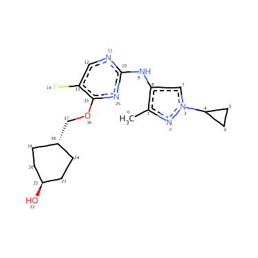 Cc1nn(C2CC2)cc1Nc1ncc(F)c(OC[C@H]2CC[C@H](O)CC2)n1